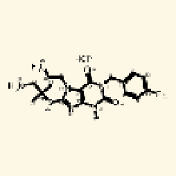 Cl.Cn1c(=O)n(Cc2ccc(F)cc2)c(=O)c2c1nc(SC(C)(C)CN)n2CCC(F)(F)F